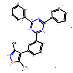 Cc1noc(C)c1-c1cccc(-c2nc(-c3ccccc3)nc(-c3ccccc3)n2)c1